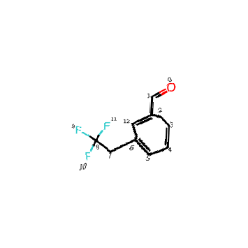 O=Cc1cccc(CC(F)(F)F)c1